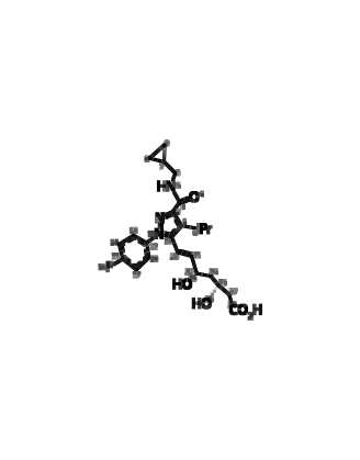 CC(C)c1c(C(=O)NCC2CC2)nn(-c2ccc(F)cc2)c1/C=C/[C@@H](O)C[C@@H](O)CC(=O)O